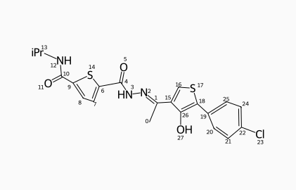 C/C(=N\NC(=O)c1ccc(C(=O)NC(C)C)s1)c1csc(-c2ccc(Cl)cc2)c1O